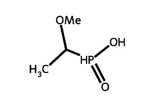 COC(C)[PH](=O)O